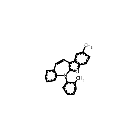 Cc1ccc2oc3c(c2c1)C=Cc1ccccc1N3c1ccccc1C